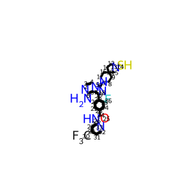 Nc1nccn2c(N3CCC4(CCN(S)C4)CC3)nc(-c3ccc(C(=O)Nc4cc(C(F)(F)F)ccn4)cc3F)c12